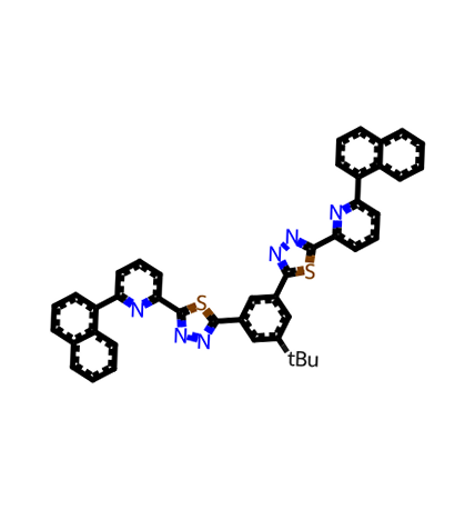 CC(C)(C)c1cc(-c2nnc(-c3cccc(-c4cccc5ccccc45)n3)s2)cc(-c2nnc(-c3cccc(-c4cccc5ccccc45)n3)s2)c1